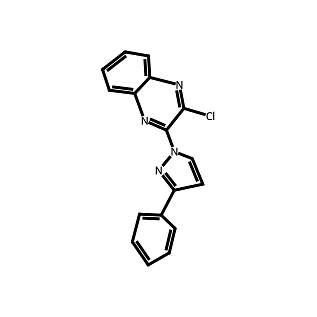 Clc1nc2ccccc2nc1-n1ccc(-c2ccccc2)n1